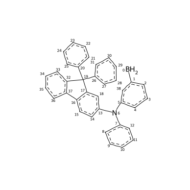 Bc1cccc(N(c2ccccc2)c2ccc3c(c2)C(c2ccccc2)(c2ccccc2)c2ccccc2-3)c1